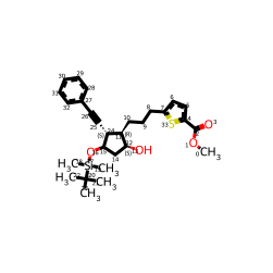 COC(=O)c1ccc(CCC[C@H]2[C@@H](O)CC(O[Si](C)(C)C(C)(C)C)[C@@H]2C#Cc2ccccc2)s1